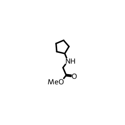 COC(=O)CNC1CCCC1